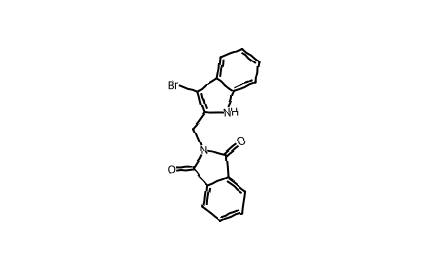 O=C1c2ccccc2C(=O)N1Cc1[nH]c2ccccc2c1Br